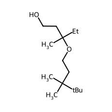 CCC(C)(CCO)OCCC(C)(C)C(C)(C)C